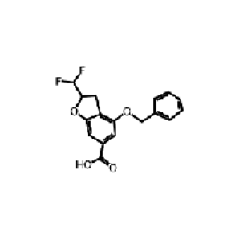 O=C(O)c1cc(OCc2ccccc2)c2c(c1)OC(C(F)F)C2